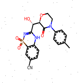 Cc1ccc(N2CCO[C@H]([C@@H](O)C3=NS(=O)(=O)c4cc(C#N)ccc4N3)C2=O)cc1